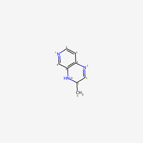 CC1C=Nc2ccncc2N1